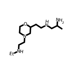 CCNCCN1CCOC(CCNCC(C)N)C1